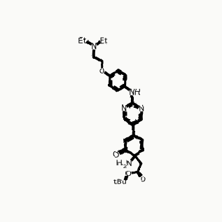 CCN(CC)CCOc1ccc(Nc2ncc(C3=CC(=O)C(N)(CC(=O)OC(C)(C)C)C=C3)cn2)cc1